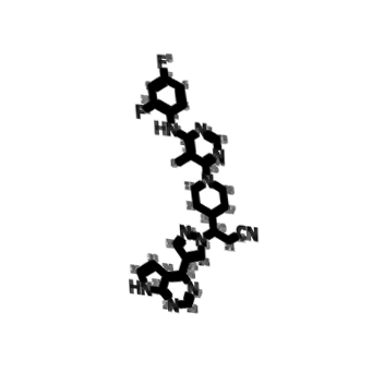 Cc1c(Nc2ccc(F)cc2F)ncnc1N1CCC(C(CC#N)n2cc(-c3ncnc4[nH]ccc34)cn2)CC1